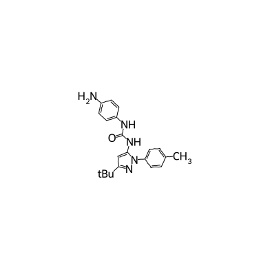 Cc1ccc(-n2nc(C(C)(C)C)cc2NC(=O)Nc2ccc(N)cc2)cc1